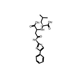 CC(C)C[C@H](NC(CC(=O)Nc1nc(-c2ccccc2)cs1)C(=O)O)C(=O)O